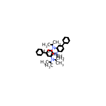 CC(C)N(c1cc(-c2ccccc2)ccc1N(C)c1ccc(-c2ccccc2)cc1N(C(C)C)C(C)C)C(C)C